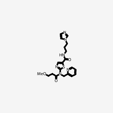 COCCC(=O)N(Cc1ccccn1)c1ncc(C(=O)NCCCn2ccnc2)s1